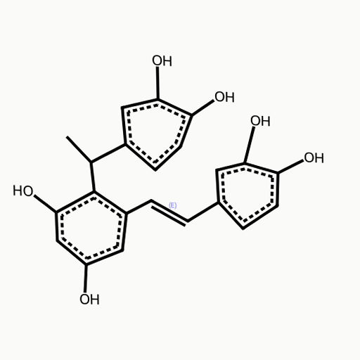 CC(c1ccc(O)c(O)c1)c1c(O)cc(O)cc1/C=C/c1ccc(O)c(O)c1